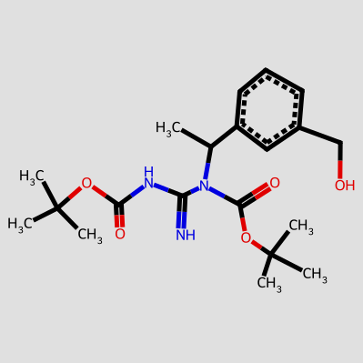 CC(c1cccc(CO)c1)N(C(=N)NC(=O)OC(C)(C)C)C(=O)OC(C)(C)C